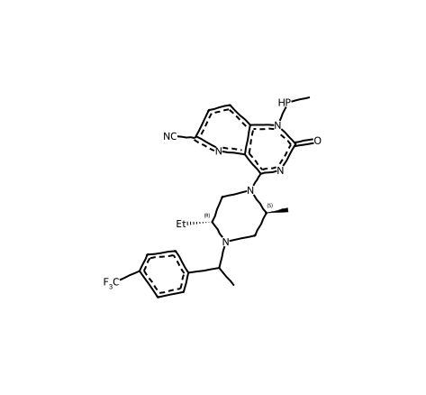 CC[C@@H]1CN(c2nc(=O)n(PC)c3ccc(C#N)nc23)[C@@H](C)CN1C(C)c1ccc(C(F)(F)F)cc1